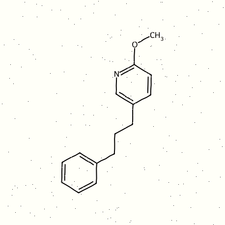 COc1ccc(CCCc2ccccc2)cn1